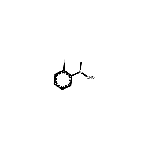 CN(C=O)c1ccccc1I